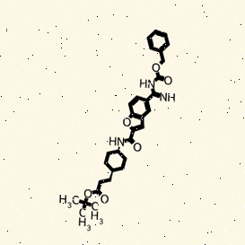 CC(C)(C)OC(=O)CC[C@H]1CC[C@H](NC(=O)c2cc3cc(C(=N)NC(=O)OCc4ccccc4)ccc3o2)CC1